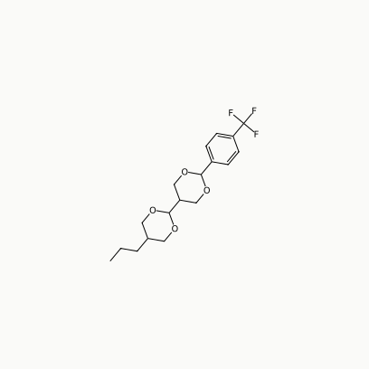 CCCC1COC(C2COC(c3ccc(C(F)(F)F)cc3)OC2)OC1